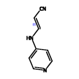 N#C/C=[C]/Nc1ccncc1